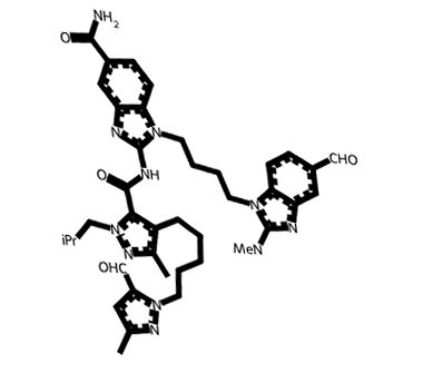 CNc1nc2cc(C=O)ccc2n1CCCCn1c(NC(=O)c2c(CCCCCn3nc(C)cc3C=O)c(C)nn2CC(C)C)nc2cc(C(N)=O)ccc21